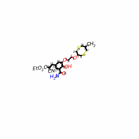 C=C1CSCC(OCCOc2cc(/C=C(\C#N)C(=O)OCC)cc(C(N)=O)c2O)CSC1